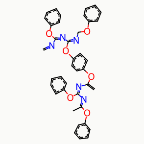 C=N/C(=N\C(=N/COc1ccccc1)Oc1ccc(OC(=C)/N=C(\N=C(/C)Oc2ccccc2)Oc2ccccc2)cc1)Oc1ccccc1